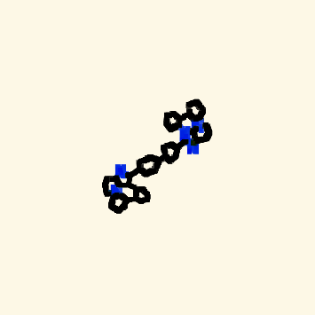 c1ccc(-c2ccccc2C2C(c3ccc(-c4ccc(-c5nc6cccnc6n5-c5ccccc5-c5ccccc5)cc4)cc3)=Nc3cccnc32)cc1